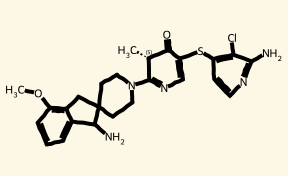 COc1cccc2c1CC1(CCN(C3=NC=C(Sc4ccnc(N)c4Cl)C(=O)[C@H]3C)CC1)C2N